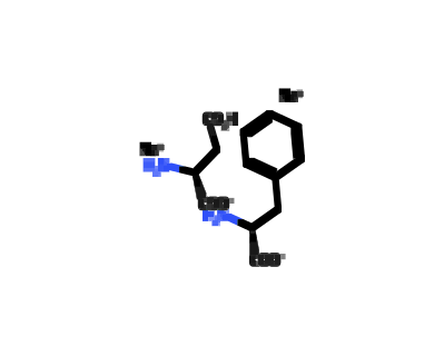 N[C@@H](CC(=O)O)C(=O)[O-].N[C@@H](Cc1ccccc1)C(=O)[O-].[Na+].[Na+]